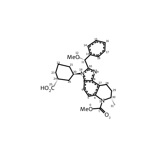 COC(=O)N1c2ccc3c(nc([C@H](OC)c4ccccc4)n3[C@@H]3CCC[C@@H](C(=O)O)C3)c2CC[C@@H]1C